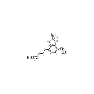 CCOC(=O)CCCc1ccc(OCC)c2c1CC(N)C2